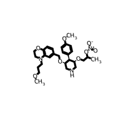 COCCCN1CCOc2ccc(CO[C@H]3CNC[C@@H](OCC(C)O[N+](=O)[O-])[C@@H]3c3ccc(OC)cc3)cc21